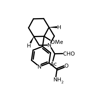 COC1(c2ccnc(C(N)=O)c2)[C@@H]2CCC[C@H]1CN(C(C=O)C(C)=O)C2